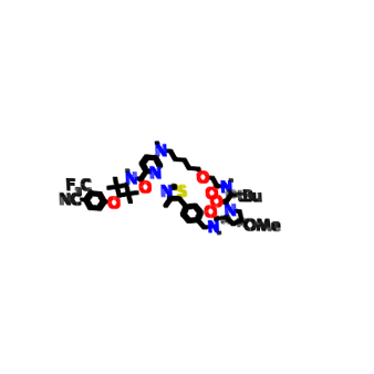 CO[C@@H]1C[C@@H](C(=O)N(C)Cc2ccc(-c3scnc3C)cc2)N(C(=O)[C@@H](N(C)C(=O)COCCCCCN(C)c2ccc(C(=O)N(C)[C@H]3C(C)(C)[C@H](Oc4ccc(C#N)c(C(F)(F)F)c4)C3(C)C)nc2)C(C)(C)C)C1